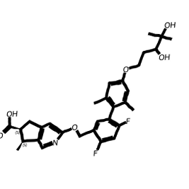 Cc1cc(OCCC(O)C(C)(C)O)cc(C)c1-c1cc(COc2cc3c(cn2)[C@@H](C)[C@@H](C(=O)O)C3)c(F)cc1F